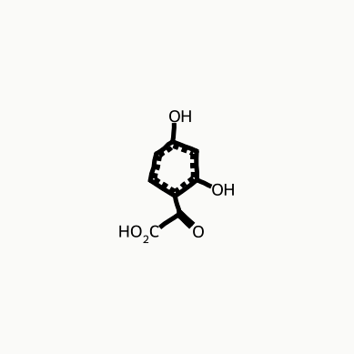 O=C(O)C(=O)c1ccc(O)cc1O